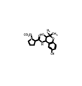 CCOC(=O)N1CCCC1C(=O)NC1c2cc(C#N)ccc2OC(C)(C)C1O